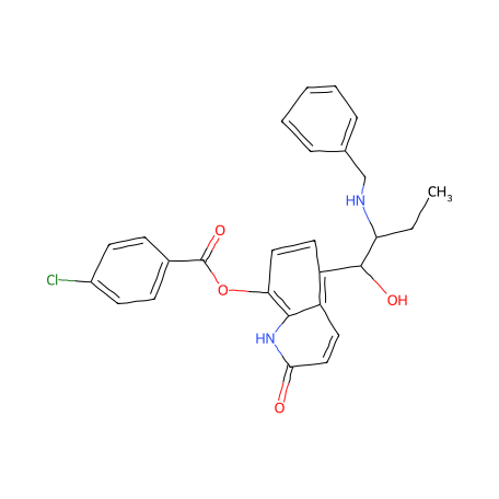 CCC(NCc1ccccc1)C(O)c1ccc(OC(=O)c2ccc(Cl)cc2)c2[nH]c(=O)ccc12